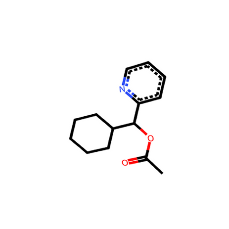 CC(=O)OC(c1ccccn1)C1CCCCC1